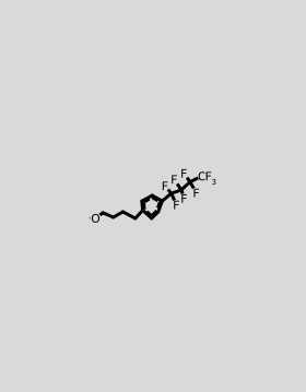 [O]CCCCc1ccc(C(F)(F)C(F)(F)C(F)(F)C(F)(F)F)cc1